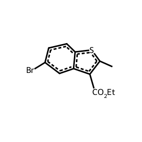 CCOC(=O)c1c(C)sc2ccc(Br)cc12